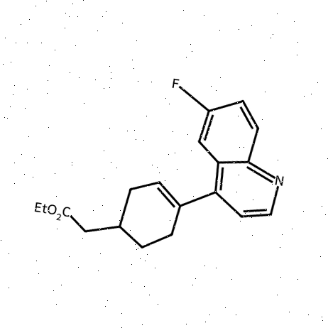 CCOC(=O)CC1CC=C(c2ccnc3ccc(F)cc23)CC1